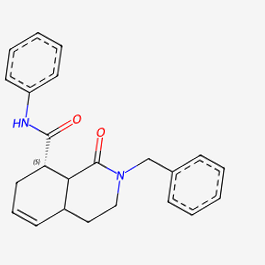 O=C(Nc1ccccc1)[C@H]1CC=CC2CCN(Cc3ccccc3)C(=O)C21